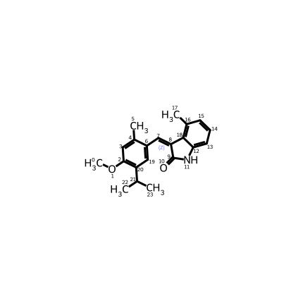 COc1cc(C)c(/C=C2\C(=O)Nc3cccc(C)c32)cc1C(C)C